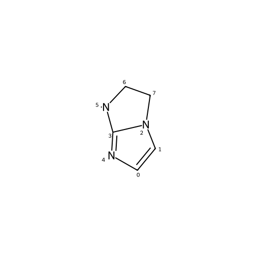 c1cn2c(n1)[N]CC2